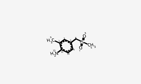 Cc1cc(CS(C)(=O)=O)ccc1N